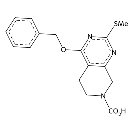 CSc1nc2c(c(OCc3ccccc3)n1)CCN(C(=O)O)C2